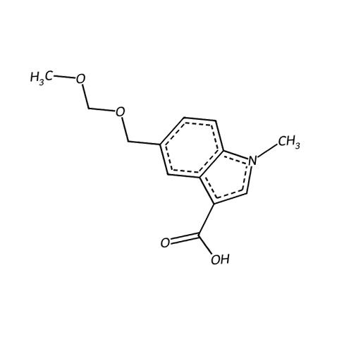 COCOCc1ccc2c(c1)c(C(=O)O)cn2C